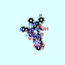 C[C@@H](C(=O)N[C@@H](CC(N)=O)C(=O)N[C@@H](CCN(C(=O)CO)[C@@H](c1cc(-c2cc(F)ccc2F)cn1Cc1ccccc1)C(C)(C)C)C(=O)NCCCC(=O)ON1C(=O)CCC1=O)N(C)C(=O)CNC(=O)Cc1ccncc1